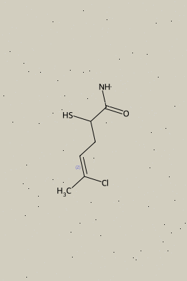 C/C(Cl)=C/CC(S)C([NH])=O